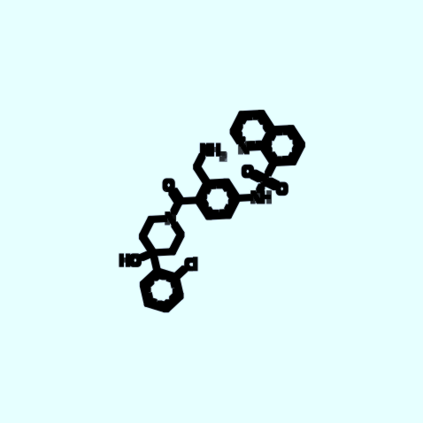 NCc1cc(NS(=O)(=O)c2cccc3cccnc23)ccc1C(=O)N1CCC(O)(c2ccccc2Cl)CC1